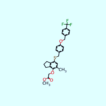 COC(=O)COc1c(C)cc(SCc2ccc(OCc3ccc(C(F)(F)F)cc3)cc2)c2c1CCC2